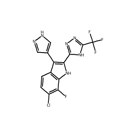 Fc1c(Cl)ccc2c(-c3cn[nH]c3)c(-c3nnc(C(F)(F)F)[nH]3)[nH]c12